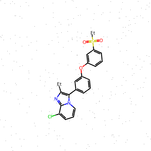 CCc1nc2c(Cl)cccn2c1-c1cccc(Oc2cccc(S(=O)(=O)CC)c2)c1